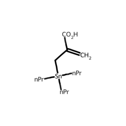 C=C([CH2][Sn]([CH2]CC)([CH2]CC)[CH2]CC)C(=O)O